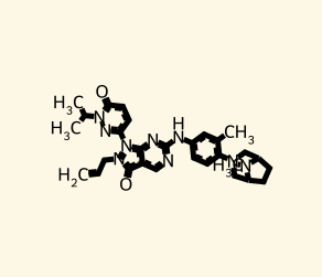 C=CCn1c(=O)c2cnc(Nc3ccc(N4CC5CCC(C4)N5C)c(C)c3)nc2n1-c1ccc(=O)n(C(C)C)n1